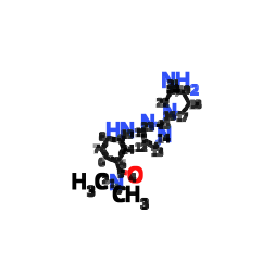 CN(C)C(=O)c1cccc(Nc2ccnc(N3CCC[C@H](N)C3)n2)c1